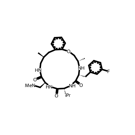 CNC[C@@H]1NC(=O)[C@@H](C(C)C)NC(=O)[C@@H](Cc2cccc(F)c2)N[C@@H](C)COc2ccccc2C[C@H](C)CNC1=O